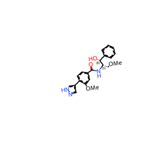 COC[C@H](NC(=O)c1ccc(-c2cn[nH]c2)c(OC)c1)[C@H](O)c1ccccc1